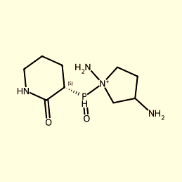 NC1CC[N+](N)([PH](=O)[C@H]2CCCNC2=O)C1